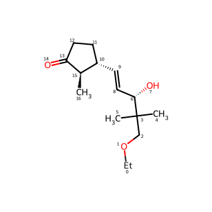 CCOCC(C)(C)[C@@H](O)/C=C/[C@H]1CCC(=O)[C@@H]1C